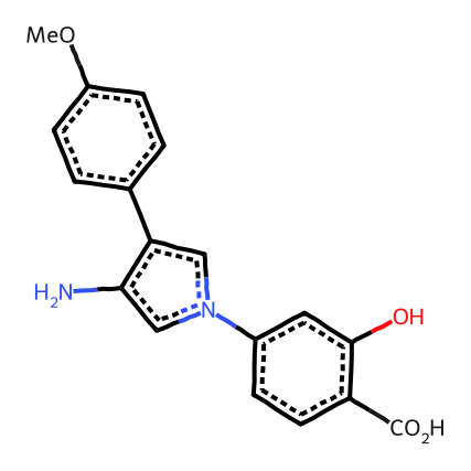 COc1ccc(-c2cn(-c3ccc(C(=O)O)c(O)c3)cc2N)cc1